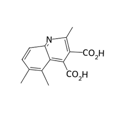 Cc1ccc2nc(C)c(C(=O)O)c(C(=O)O)c2c1C